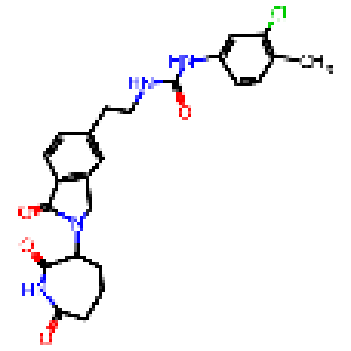 Cc1ccc(NC(=O)NCCc2ccc3c(c2)CN(C2CCCC(=O)NC2=O)C3=O)cc1Cl